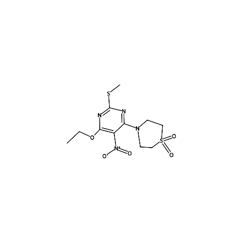 CCOc1nc(SC)nc(N2CCS(=O)(=O)CC2)c1[N+](=O)[O-]